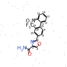 NC(=O)c1coc(-c2ccc(-c3ccccc3[N+](=O)[O-])c(C(F)(F)F)c2)n1